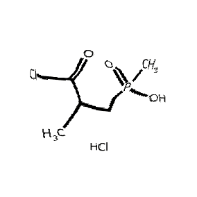 CC(CP(C)(=O)O)C(=O)Cl.Cl